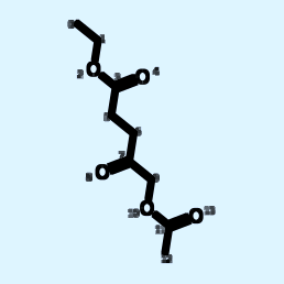 CCOC(=O)CCC(=O)COC(C)=O